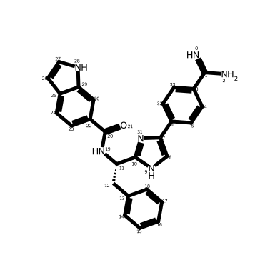 N=C(N)c1ccc(-c2c[nH]c([C@H](Cc3ccccc3)NC(=O)c3ccc4cc[nH]c4c3)n2)cc1